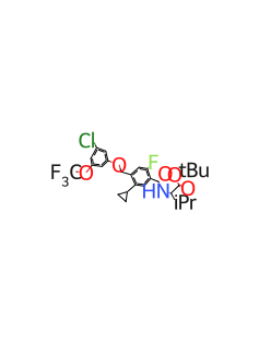 CC(C)C(NC(=O)c1cc(C2CC2)c(COc2cc(Cl)cc(OC(F)(F)F)c2)cc1F)C(=O)OC(C)(C)C